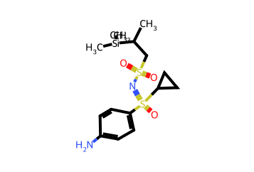 CC(CS(=O)(=O)N=S(=O)(c1ccc(N)cc1)C1CC1)[Si](C)(C)C